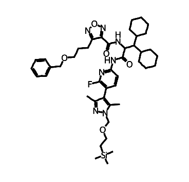 Cc1nn(COCC[Si](C)(C)C)c(C)c1-c1ccc(NC(=O)C(NC(=O)c2nonc2CCCOCc2ccccc2)C(C2CCCCC2)C2CCCCC2)nc1F